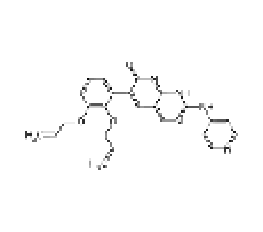 C=CCOc1cccc(-c2cc3cnc(Nc4ccncc4)[nH]c-3nc2=O)c1OCC=C